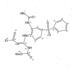 CCCCC(=O)Nc1cc(S(=O)(=O)c2ccccc2)ccc1NC(=NC(=O)CC)NC(=O)OC